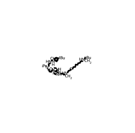 C=C(CCCC)NCCCCCCCCCOCCCNC(=C)CCCNC1NC=NC2=C1N=CCN2[C@H]1CC[C@@H](CN(CCCNC(=C)Nc2ccc(C(C)(C)C)cc2)C(C)C)O1